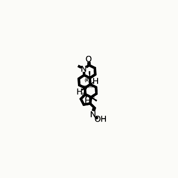 CN1C(=O)CC[C@@]2(C)C1CC[C@@H]1[C@@H]2CC[C@]2(C)C(C=NO)CC[C@@H]12